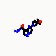 NC(=O)c1cnn2ccc(N3CCC4(COC4)C3)nc12